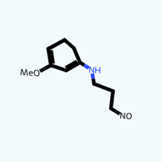 COC1=CCCC(NCCCN=O)=C1